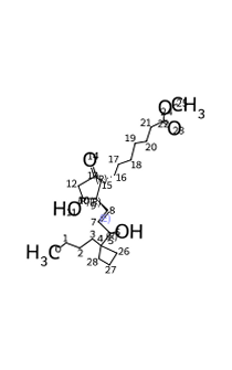 CCCCC1([C@H](O)/C=C/[C@H]2[C@H](O)CC(=O)[C@@H]2CCCCCCC(=O)OC)CCC1